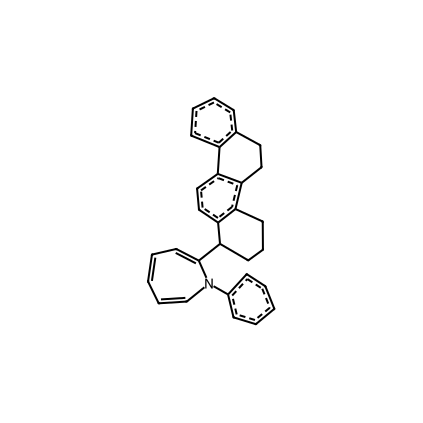 C1=CC=C(C2CCCc3c2ccc2c3CCc3ccccc3-2)N(c2ccccc2)C=C1